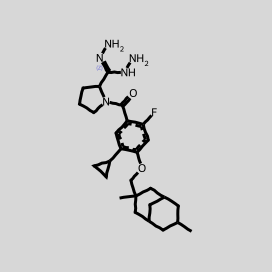 CC1CC2CC(C1)CC(C)(COc1cc(F)c(C(=O)N3CCCC3/C(=N/N)NN)cc1C1CC1)C2